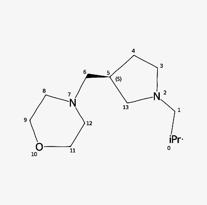 C[C](C)CN1CC[C@H](CN2CCOCC2)C1